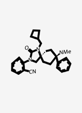 CN[C@]1(c2ccccc2)CC[C@]2(CC1)CN(c1ccccc1C#N)C(=O)N2CC1CCC1